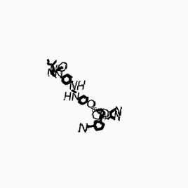 CCC(C)n1ncn(-c2ccc(NCCNc3ccc(OC[C@@H]4CO[C@@](Cc5ccnnc5)(c5cccc(C#N)c5)O4)cc3)cc2)c1=O